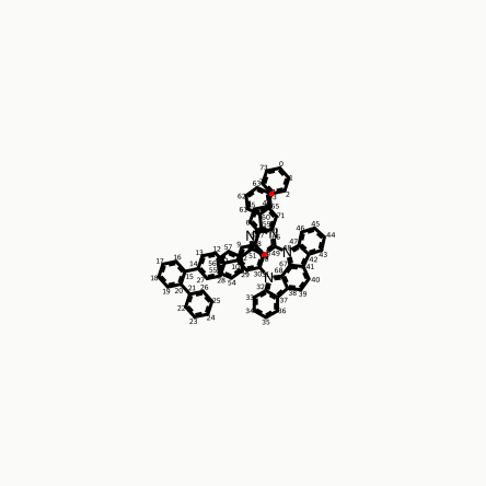 c1ccc(-c2ccc(-c3cc(-c4ccc(-c5ccccc5-c5ccccc5)cc4)cc(-n4c5ccccc5c5ccc6c7ccccc7n(-c7nc(-c8ccccc8)nc(-c8ccccc8)n7)c6c54)c3)cc2)cc1